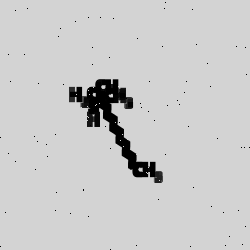 CCCCCCCCCCCC(S)C(C)(C)C